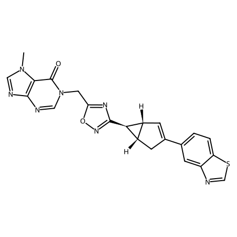 Cn1cnc2ncn(Cc3nc([C@H]4[C@@H]5C=C(c6ccc7scnc7c6)C[C@@H]54)no3)c(=O)c21